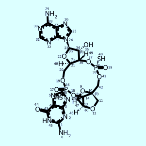 Nc1nc2c(ncn2[C@@H]2O[C@@]34CO[C@@H]2[C@@H]3O[P@@](=O)(S)OC[C@H]2O[C@@H](n3cnc5c(N)ncnc53)[C@H](O)[C@@H]2O[P@](=O)(S)OC4)c(=O)[nH]1